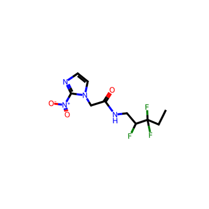 CCC(F)(F)C(F)CNC(=O)Cn1ccnc1[N+](=O)[O-]